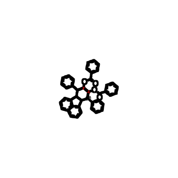 O=C(OC1C(OC(=O)c2ccccc2)[C@]2(c3ccccc3)CCC1(c1ccccc1)C1c3cccc4cccc(c34)C12)c1ccccc1